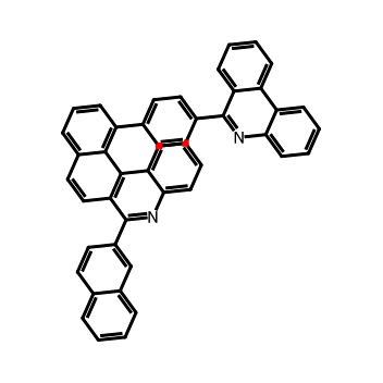 c1ccc2cc(-c3nc4ccccc4c4c3ccc3cccc(-c5ccc(-c6nc7ccccc7c7ccccc67)cc5)c34)ccc2c1